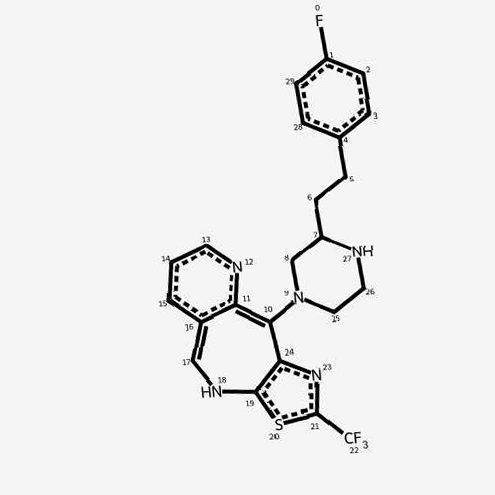 Fc1ccc(CCC2CN(C3=c4ncccc4=CNc4sc(C(F)(F)F)nc43)CCN2)cc1